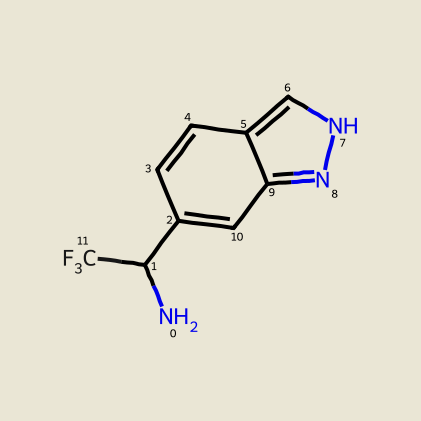 NC(c1ccc2c[nH]nc2c1)C(F)(F)F